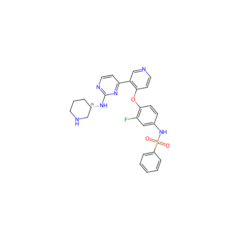 O=S(=O)(Nc1ccc(Oc2ccncc2-c2ccnc(N[C@H]3CCCNC3)n2)c(F)c1)c1ccccc1